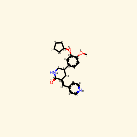 COc1ccc(C2CNC(=O)C(=Cc3ccncc3)C2)cc1OC1CCCC1